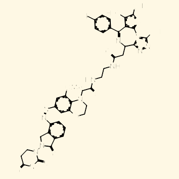 COc1cc(/N=N\c2cccc3c2CN(N2CCC(=O)NC2=O)C3=O)cc2c1N(CC(=O)NCCNC(=O)CC1N=C(c3ccc(Cl)cc3)c3c(sc(C)c3C)-n3c(C)nnc31)CCO2